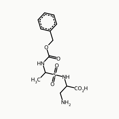 CC(NC(=O)OCc1ccccc1)S(=O)(=O)NC(CN)C(=O)O